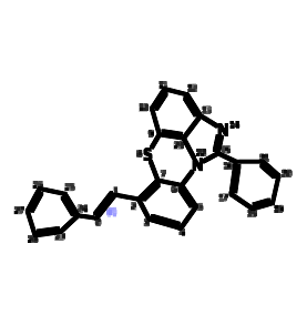 C(=C\c1cccc2c1Sc1cccc3nc(-c4ccccc4)n-2c13)/c1ccccc1